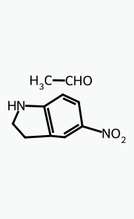 CC=O.O=[N+]([O-])c1ccc2c(c1)CCN2